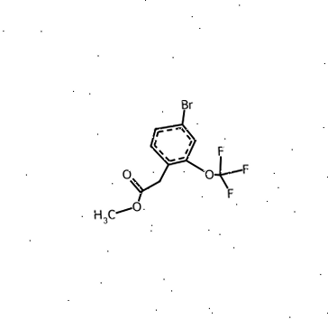 COC(=O)Cc1ccc(Br)cc1OC(F)(F)F